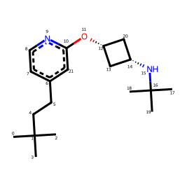 CC(C)(C)CCc1ccnc(O[C@H]2C[C@@H](NC(C)(C)C)C2)c1